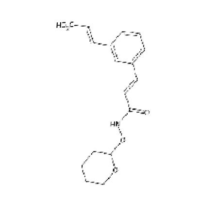 O=C(O)C=Cc1cccc(C=CC(=O)NOC2CCCCO2)c1